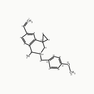 [2H]C1c2ccc(C=C)cc2C2(CC2)CN1Cc1ccc(OC)cc1